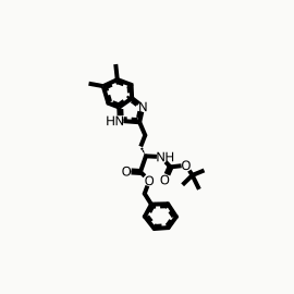 Cc1cc2nc(CC[C@H](NC(=O)OC(C)(C)C)C(=O)OCc3ccccc3)[nH]c2cc1C